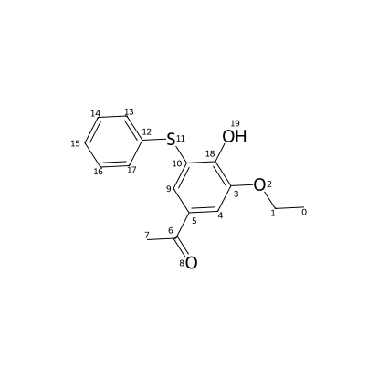 CCOc1cc(C(C)=O)cc(Sc2ccccc2)c1O